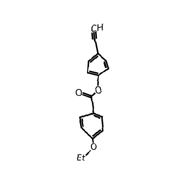 C#Cc1ccc(OC(=O)c2ccc(OCC)cc2)cc1